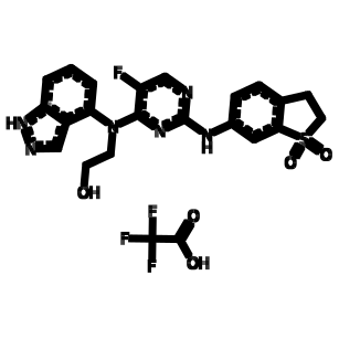 O=C(O)C(F)(F)F.O=S1(=O)CCc2ccc(Nc3ncc(F)c(N(CCO)c4cccc5[nH]ncc45)n3)cc21